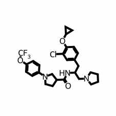 O=C(NC(Cc1ccc(OC2CC2)c(Cl)c1)CN1CCCC1)C1CCN(c2ccc(OC(F)(F)F)cc2)C1